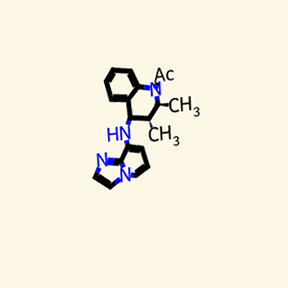 CC(=O)N1c2ccccc2C(Nc2cccn3ccnc23)[C@@H](C)[C@@H]1C